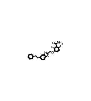 NC(=O)c1c(F)ccc(OCc2nc3cc(CCc4ccccc4)ccc3s2)c1F